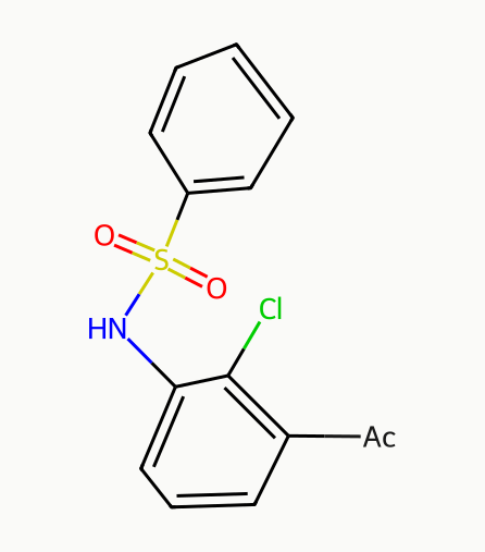 CC(=O)c1cccc(NS(=O)(=O)c2ccccc2)c1Cl